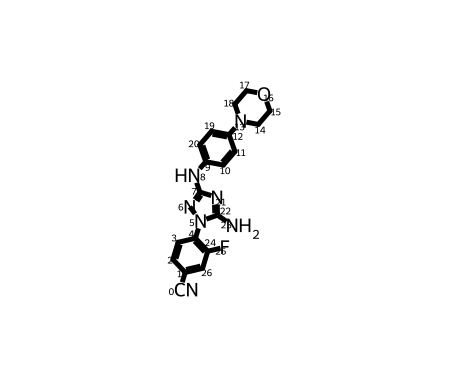 N#Cc1ccc(-n2nc(Nc3ccc(N4CCOCC4)cc3)nc2N)c(F)c1